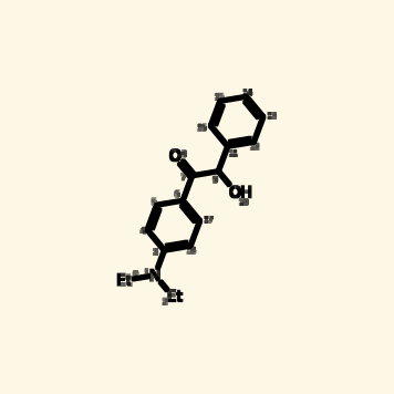 CCN(CC)c1ccc(C(=O)C(O)c2ccccc2)cc1